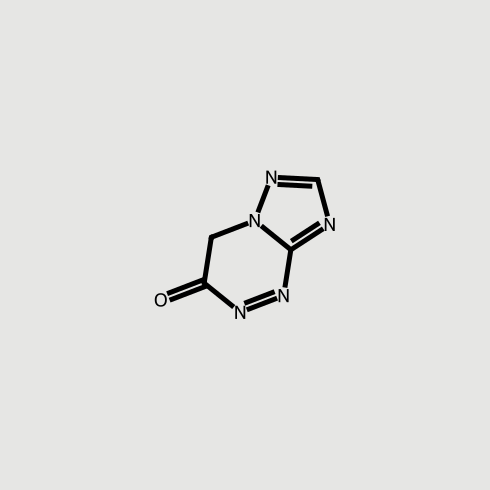 O=C1Cn2ncnc2N=N1